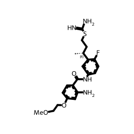 COCCOc1ccc(C(=O)Nc2ccc(F)c([C@H](C)CCSC(=N)N)c2)c(N)c1